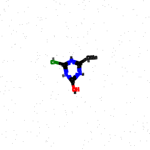 COc1nc(O)nc(Cl)n1